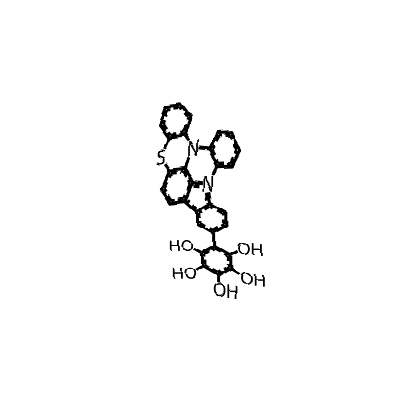 Oc1c(O)c(O)c(-c2ccc3c(c2)c2ccc4c5c2n3-c2ccccc2N5c2ccccc2S4)c(O)c1O